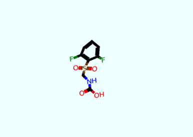 O=C(O)NCS(=O)(=O)c1c(F)cccc1F